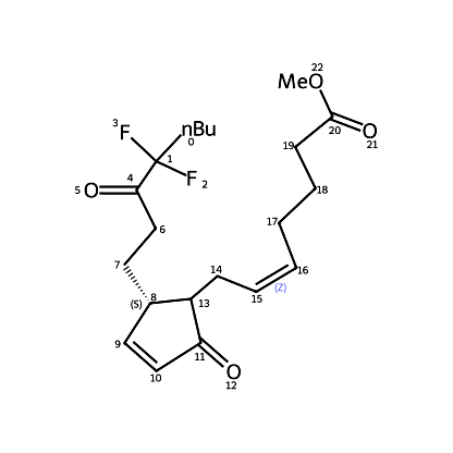 CCCCC(F)(F)C(=O)CC[C@H]1C=CC(=O)C1C/C=C\CCCC(=O)OC